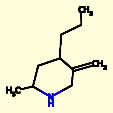 C=C1CNC(C)CC1CCC